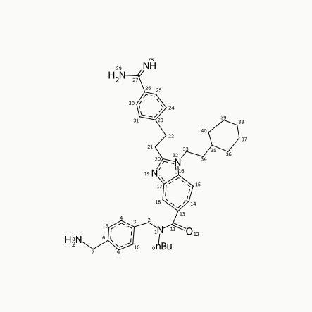 CCCCN(Cc1ccc(CN)cc1)C(=O)c1ccc2c(c1)nc(CCc1ccc(C(=N)N)cc1)n2CCC1CCCCC1